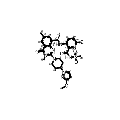 COc1ccn(C2CCN(c3nc4c([C@@H](C)Nc5ccc(Cl)nc5C(=O)NS(C)(=O)=O)cc(C)cc4c(=O)n3C)CC2)n1